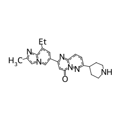 CCc1cc(-c2cc(=O)n3nc(C4CCNCC4)ccc3n2)cn2cc(C)nc12